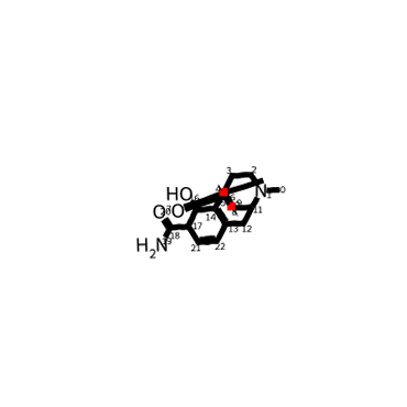 CN1CCC23CC(=O)CCC2C1CC1=C3C(O)C(C(N)=O)C=C1